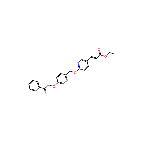 CCOC(=O)/C=C/c1ccc(OCc2ccc(OCC(=O)c3ccccc3)cc2)nc1